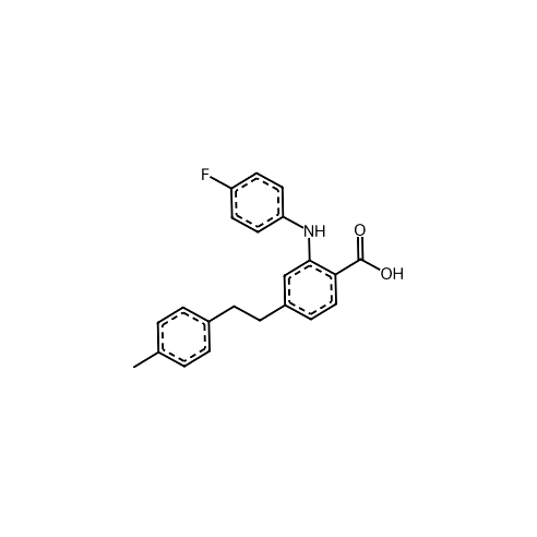 Cc1ccc(CCc2ccc(C(=O)O)c(Nc3ccc(F)cc3)c2)cc1